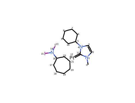 Cn1ccn(C2CCCCC2)[c]1=[Pt].IN(I)C1CCCCCC1